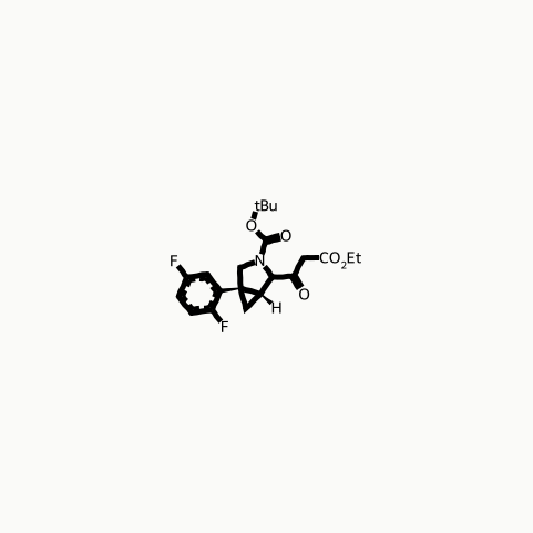 CCOC(=O)CC(=O)C1[C@@H]2C[C@]2(c2cc(F)ccc2F)CN1C(=O)OC(C)(C)C